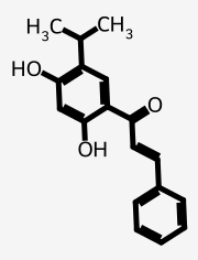 CC(C)c1cc(C(=O)/C=C/c2ccccc2)c(O)cc1O